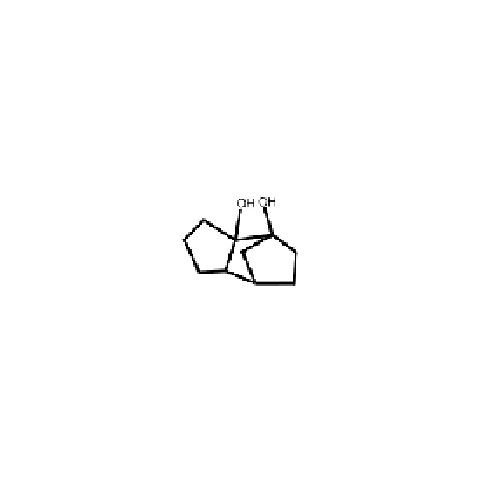 OC12CCC(C1)C1CCCC12O